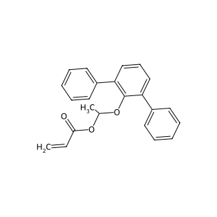 C=CC(=O)OC(C)Oc1c(-c2ccccc2)cccc1-c1ccccc1